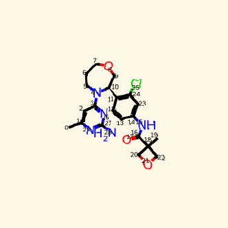 Cc1cc(N2CCCOC[C@H]2c2ccc(NC(=O)C3(C)COC3)cc2Cl)nc(N)n1